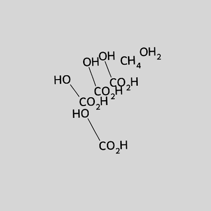 C.O.O=C(O)O.O=C(O)O.O=C(O)O.O=C(O)O